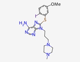 COc1ccc(I)c(Sc2nc3c(N)ncnc3n2CCCN2CCN(C)CC2)c1